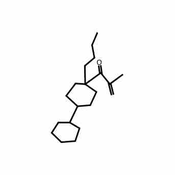 C=C(C)C(=O)C1(CCCC)CCC(C2CCCCC2)CC1